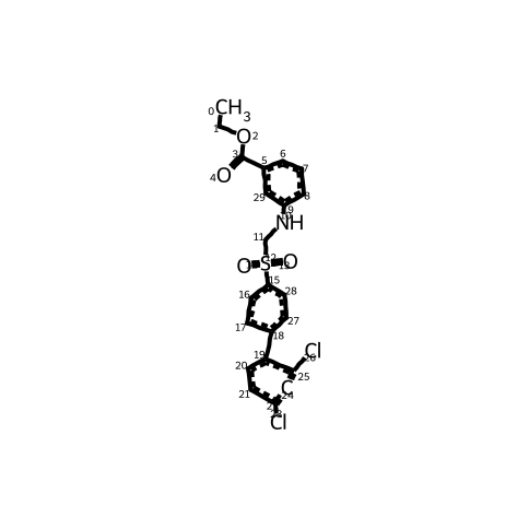 CCOC(=O)c1cccc(NCS(=O)(=O)c2ccc(-c3ccc(Cl)cc3Cl)cc2)c1